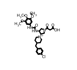 COc1cc(NC(=O)N[C@H]2CN(C(=O)CC(=O)O)C[C@@H]2N2CCC(Cc3ccc(Cl)cc3)CC2)cc(OC)c1OC